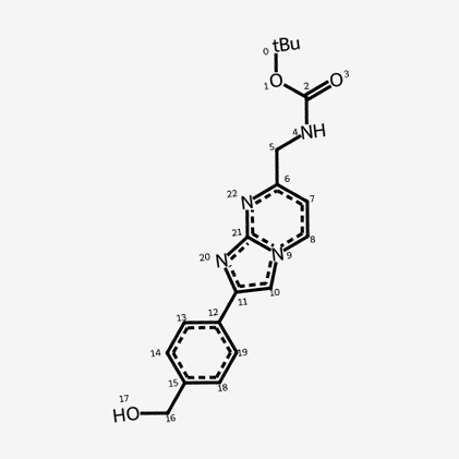 CC(C)(C)OC(=O)NCc1ccn2cc(-c3ccc(CO)cc3)nc2n1